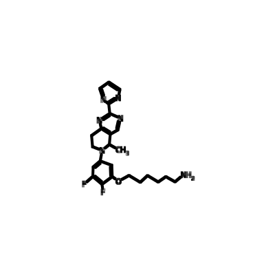 CC1c2cnc(-c3ncccn3)nc2CCN1c1cc(F)c(F)c(OCCCCCCN)c1